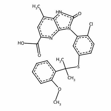 COc1ccccc1C(C)(C)Sc1ccc(Cl)c(-n2c(=O)[nH]c3c(C)cc(C(=O)O)nc32)c1